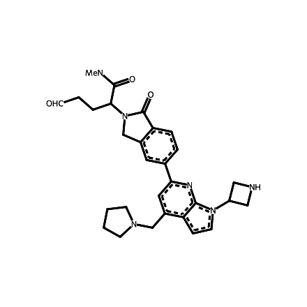 CNC(=O)C(CCC=O)N1Cc2cc(-c3cc(CN4CCCC4)c4ccn(C5CNC5)c4n3)ccc2C1=O